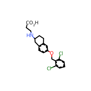 O=C(O)CCNC1CCc2cc(OCc3c(Cl)cccc3Cl)ccc2C1